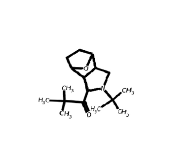 CC(C)(C)C(=O)C1C2C3CCC(O3)C2CN1C(C)(C)C